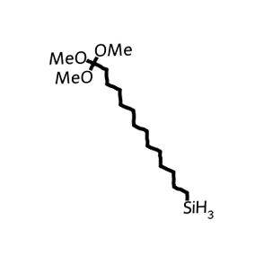 COC(CCCCCCCCCCCCC[SiH3])(OC)OC